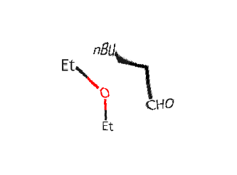 CCCCCC=O.CCOCC